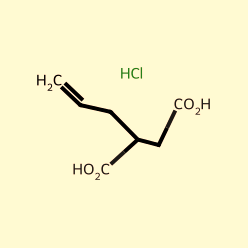 C=CCC(CC(=O)O)C(=O)O.Cl